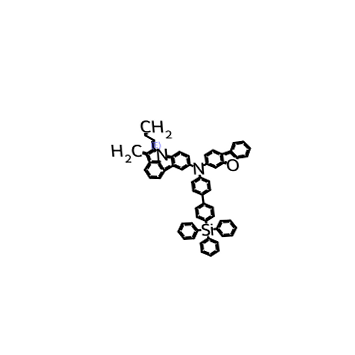 C=C/C=c1\c(=C)c2cccc3c4cc(N(c5ccc(-c6ccc([Si](c7ccccc7)(c7ccccc7)c7ccccc7)cc6)cc5)c5ccc6c(c5)oc5ccccc56)ccc4n1c23